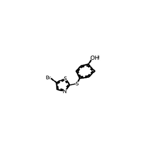 Oc1ccc(Sc2ncc(Br)s2)cc1